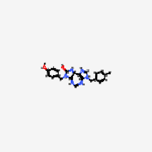 COc1ccc(Cn2c3ncnc4c(ncn4Cc4ccc(C)cc4)c-3nc2=O)cc1